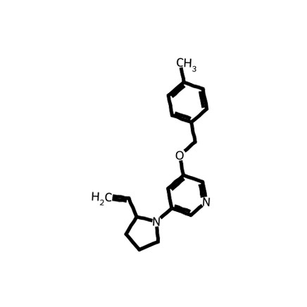 C=CC1CCCN1c1cncc(OCc2ccc(C)cc2)c1